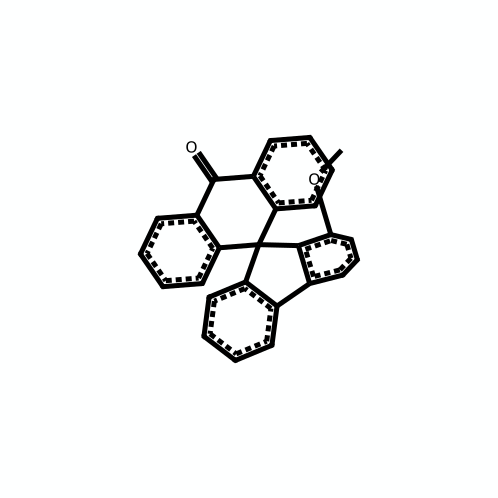 COc1cccc2c1C1(c3ccccc3C(=O)c3ccccc31)c1ccccc1-2